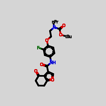 CCCN(CCOc1ccc(NC(=O)c2coc3c2C(=O)CCC3)cc1F)C(=O)OC(C)(C)C